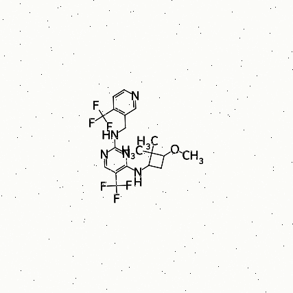 COC1CC(Nc2nc(NCc3cnccc3C(F)(F)F)ncc2C(F)(F)F)C1(C)C